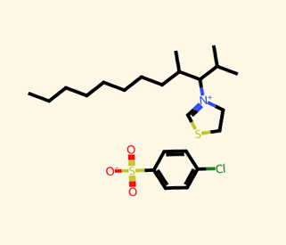 CCCCCCCCC(C)C(C(C)C)[N+]1=CSCC1.O=S(=O)([O-])c1ccc(Cl)cc1